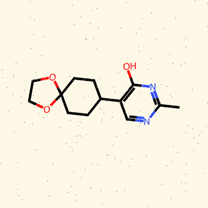 Cc1ncc(C2CCC3(CC2)OCCO3)c(O)n1